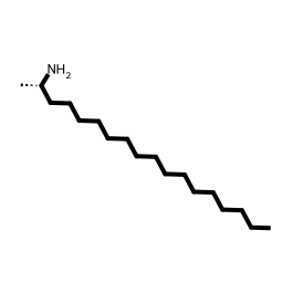 CCCCCCCCCCCCCCCC[C@H](C)N